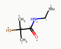 CC(C)(C)CNC(=O)C(C)(C)S